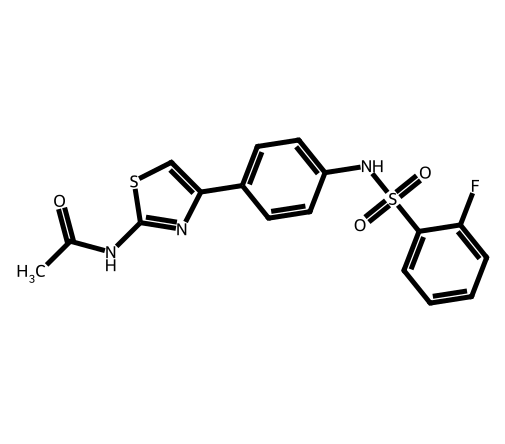 CC(=O)Nc1nc(-c2ccc(NS(=O)(=O)c3ccccc3F)cc2)cs1